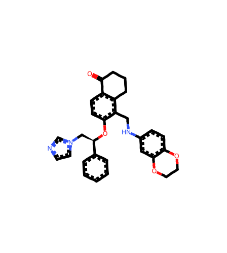 O=C1CCCc2c1ccc(O[C@H](Cn1ccnc1)c1ccccc1)c2CNc1ccc2c(c1)OCCO2